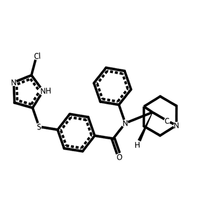 O=C(c1ccc(Sc2cnc(Cl)[nH]2)cc1)N(c1ccccc1)[C@H]1CN2CCC1CC2